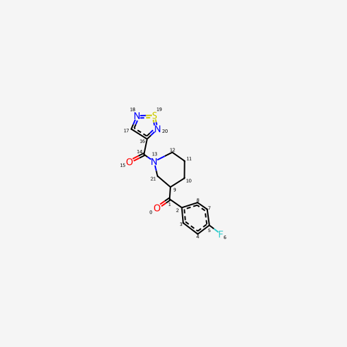 O=C(c1ccc(F)cc1)C1CCCN(C(=O)c2cnsn2)C1